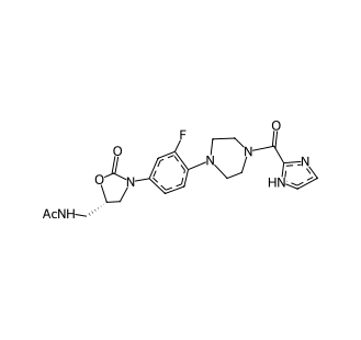 CC(=O)NC[C@H]1CN(c2ccc(N3CCN(C(=O)c4ncc[nH]4)CC3)c(F)c2)C(=O)O1